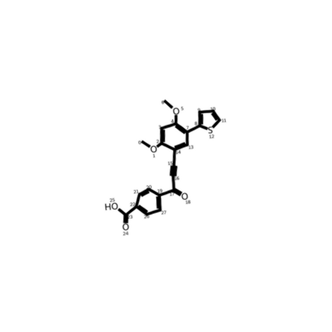 COc1cc(OC)c(-c2cccs2)cc1C#CC(=O)c1ccc(C(=O)O)cc1